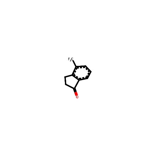 O=C1CCc2c1cccc2C(F)(F)F